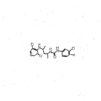 CC(CC(C)NC1=C(Cl)C=NCN1Cl)NC(=O)Nc1ccc(F)c(Cl)c1